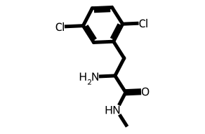 CNC(=O)C(N)Cc1cc(Cl)ccc1Cl